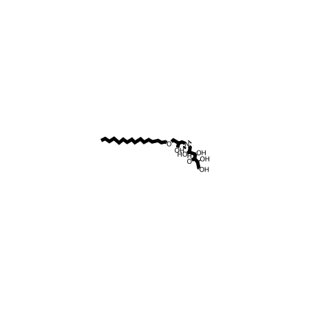 CCCCCCCCCCCCCCCCOCC(O)C[N+](C)(C)CC(O)C(O)C(O)[C@H](O)CO